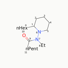 CCCCCCC1CCCCN1N(CC)C(=O)CCCCC